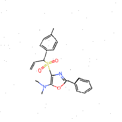 C=CC(c1ccc(C)cc1)S(=O)(=O)c1nc(-c2ccccc2)oc1N(C)C